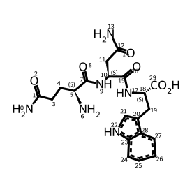 NC(=O)CC[C@H](N)C(=O)N[C@@H](CC(N)=O)C(=O)N[C@@H](Cc1c[nH]c2ccccc12)C(=O)O